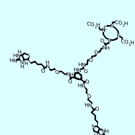 N=C1NC2[C@H](CS[C@H]2CCCCC(=O)NCCOCCNC(=O)c2cc(NC(=O)NCCOCCOCCNC(=O)CN3CCN(CC(=O)O)CCN(CC(=O)O)CCN(CC(=O)O)CC3)cc(C(=O)NCCOCCNC(=O)CCCC[C@@H]3SC[C@@H]4NC(=N)N[C@@H]43)c2)N1